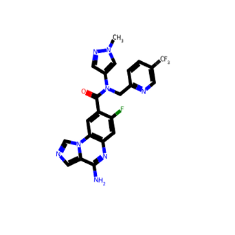 Cn1cc(N(Cc2ccc(C(F)(F)F)cn2)C(=O)c2cc3c(cc2F)nc(N)c2cncn23)cn1